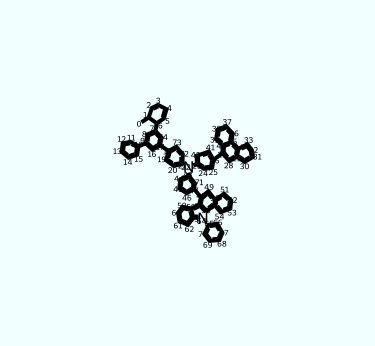 CC1C=CC=CC1c1cc(-c2ccccc2)cc(-c2ccc(N(c3ccc(-c4cc5ccccc5c5ccccc45)cc3)c3cccc(-c4cc5ccccc5c5c4c4ccccc4n5-c4ccccc4)c3)cc2)c1